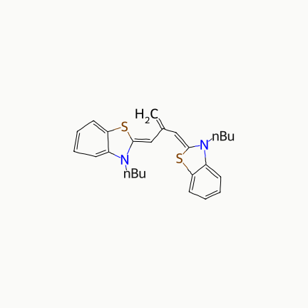 C=C(/C=C1\Sc2ccccc2N1CCCC)/C=C1\Sc2ccccc2N1CCCC